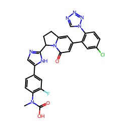 CN(C(=O)O)c1ccc(-c2cnc(C3CCc4cc(-c5cc(Cl)ccc5-n5cnnn5)cc(=O)n43)[nH]2)cc1F